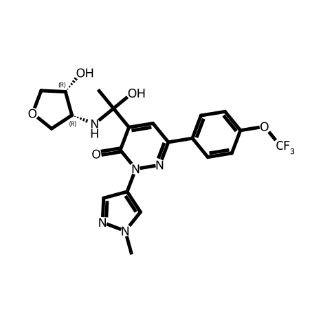 Cn1cc(-n2nc(-c3ccc(OC(F)(F)F)cc3)cc(C(C)(O)N[C@@H]3COC[C@@H]3O)c2=O)cn1